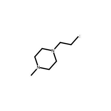 [C]CCN1CCN(C)CC1